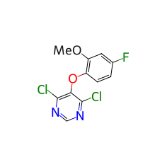 COc1cc(F)ccc1Oc1c(Cl)ncnc1Cl